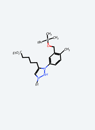 CCOC(=O)CCCCC1=CN(CC)NN1c1ccc(C)c(CO[Si](C)(C)C(C)(C)C)c1